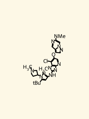 CNc1cn2ncc(Oc3cnc4nc(Nc5cc(C(C)(C)C)n(C6CCN(C)C6)n5)n(C)c4c3Cl)c2cn1